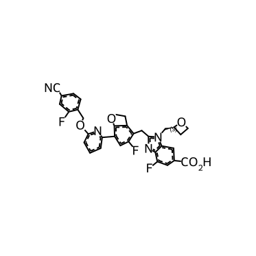 N#Cc1ccc(COc2cccc(-c3cc(F)c(Cc4nc5c(F)cc(C(=O)O)cc5n4C[C@@H]4CCO4)c4c3OCC4)n2)c(F)c1